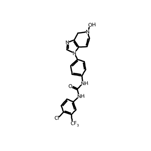 O=C(Nc1ccc(-n2cnc3c2C=CN(O)C3)cc1)Nc1ccc(Cl)c(C(F)(F)F)c1